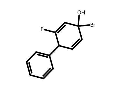 OC1(Br)C=CC(c2ccccc2)C(F)=C1